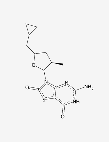 C[C@@H]1CC(CC2CC2)OC1n1c(=O)sc2c(=O)[nH]c(N)nc21